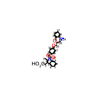 Cc1c(CC(=O)O)c2ccccc2n1S(=O)(=O)c1ccc(OC[C@@H]2CN(C)c3ccccc3O2)cc1